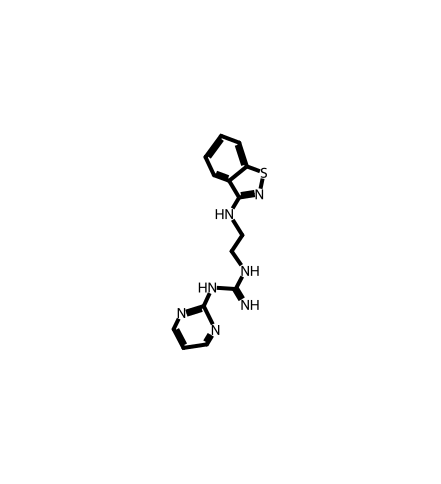 N=C(NCCNc1nsc2ccccc12)Nc1ncccn1